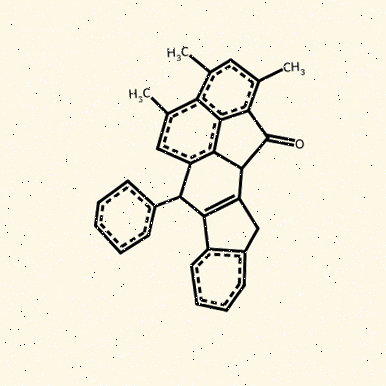 Cc1cc(C)c2c(C)cc3c4c2c1C(=O)C4C1=C(c2ccccc2C1)C3c1ccccc1